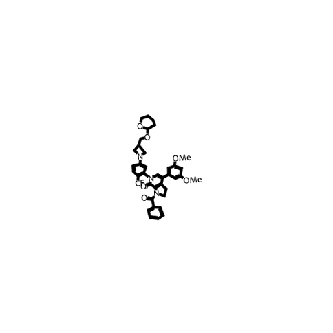 COc1cc(OC)cc(-c2cn(-c3cc(N4CC(COC5CCCCO5)C4)ccc3C(F)(F)F)c(=O)c3c2CCN3C(=O)c2ccccc2)c1